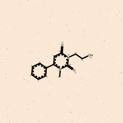 Cn1c(-c2ccccc2)cc(=O)n(CCO)c1=O